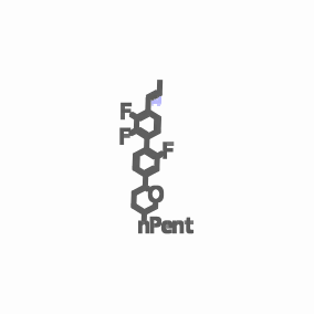 C/C=C/c1ccc(-c2ccc(C3CCC(CCCCC)CO3)cc2F)c(F)c1F